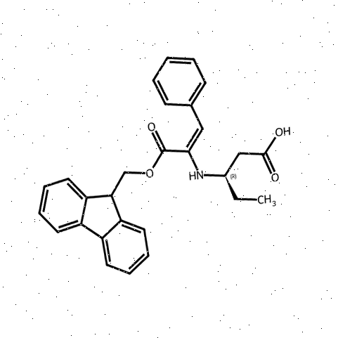 CC[C@H](CC(=O)O)NC(=Cc1ccccc1)C(=O)OCC1c2ccccc2-c2ccccc21